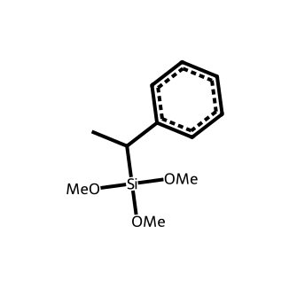 CO[Si](OC)(OC)C(C)c1ccccc1